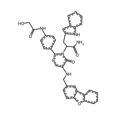 NC(=O)C(Cc1cc2cnccc2[nH]1)n1c(-c2ccc(NC(=O)CO)cc2)ncc(NCc2ccc3oc4ccccc4c3c2)c1=O